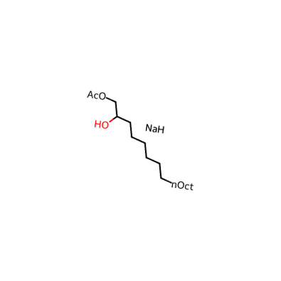 CCCCCCCCCCCCCCC(O)COC(C)=O.[NaH]